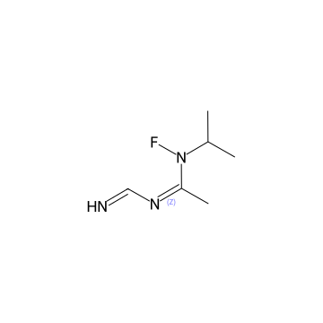 C/C(=N/C=N)N(F)C(C)C